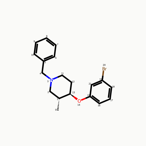 C[C@@H]1CN(Cc2ccccc2)CC[C@H]1Oc1cccc(Br)c1